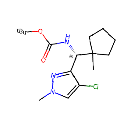 Cn1cc(Cl)c([C@H](NC(=O)OC(C)(C)C)C2(C)CCCC2)n1